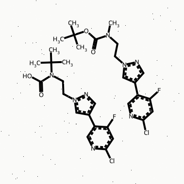 CC(C)(C)N(CCn1cc(-c2cnc(Cl)cc2F)cn1)C(=O)O.CN(CCn1cc(-c2cnc(Cl)cc2F)cn1)C(=O)OC(C)(C)C